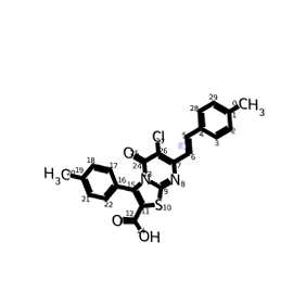 Cc1ccc(/C=C/c2nc3sc(C(=O)O)c(-c4ccc(C)cc4)n3c(=O)c2Cl)cc1